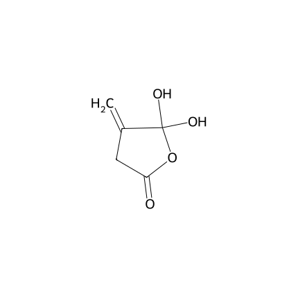 C=C1CC(=O)OC1(O)O